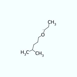 CC[CH]OCCCC(C)C